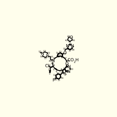 C#C/C(Cl)=C1\C=C/Cc2c(-c3ccc(F)cc3)sc3ncnc(c23)O[C@@H](C(=O)O)Cc2cc(ccc2OCc2ccnc([C@@H]3CCOC3)n2)CN(CCN2CCN(C)CC2)C1